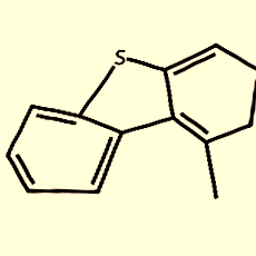 CC1=c2c(sc3ccccc23)=CCC1